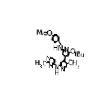 COc1ccc(CNc2cc(-c3cc(Nc4ccnc(C)n4)ncc3C)cc(OC(C)(C)C)n2)cc1